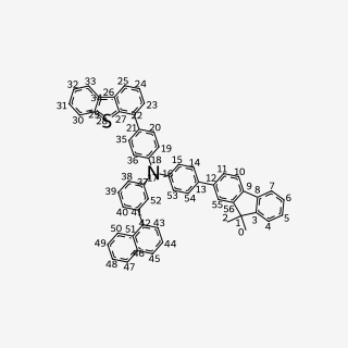 CC1(C)c2ccccc2-c2ccc(-c3ccc(N(c4ccc(-c5cccc6c5sc5ccccc56)cc4)c4cccc(-c5cccc6ccccc56)c4)cc3)cc21